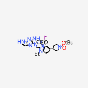 CCn1c(CN(C=O)c2nc3cc[nH]c3nc2N)[n+](CC)c2ccc(C3CCN(C(=O)OC(C)(C)C)CC3)cc21.[I-]